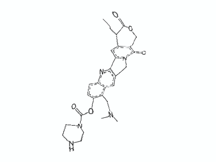 CCC1C(=O)OCc2c1cc1n(c2=O)Cc2cc3c(CN(C)C)c(OC(=O)N4CCNCC4)ccc3nc2-1